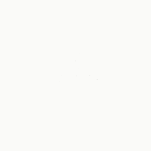 C=C(C)C(=O)[O][Ti]([O]C(=O)C(=C)C)([O]C(=O)C(=C)C)[C]1=C(C)C(C)=CC1